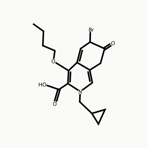 CCCCOC1=C(C(=O)O)N(CC2CC2)C=C2CC(=O)C(Br)C=C21